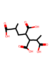 CC(CC(C(=O)O)C(C(=O)O)C(C)C(=O)O)C(=O)O